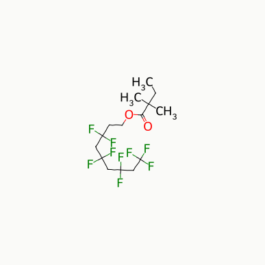 CCC(C)(C)C(=O)OCCC(F)(F)CC(F)(F)CC(F)(F)CC(F)(F)F